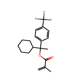 C=C(C)C(=O)OC(C)(c1ccc(C(F)(F)F)cc1)C1CCCCC1